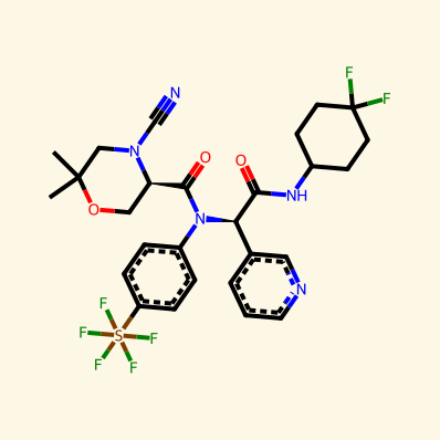 CC1(C)CN(C#N)[C@@H](C(=O)N(c2ccc(S(F)(F)(F)(F)F)cc2)[C@@H](C(=O)NC2CCC(F)(F)CC2)c2cccnc2)CO1